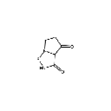 O=C1CCN2SNC(=O)C12